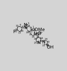 COC[C@]12Cc3cnn(-c4ccc(F)cc4)c3C=C1CCN([S+]([O-])c1ccnc(N3CC[C@H](O)C3)c1)C2